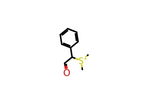 C[S+](C)C(C=O)c1ccccc1